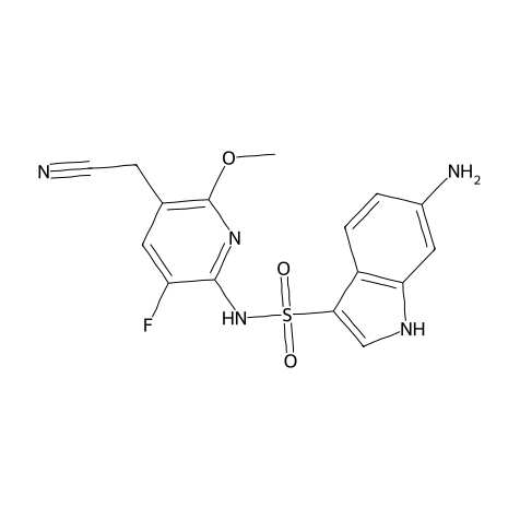 COc1nc(NS(=O)(=O)c2c[nH]c3cc(N)ccc23)c(F)cc1CC#N